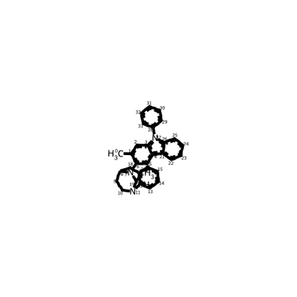 Cc1cc2c(cc1N1C3CCN(c4ccccc4C3)[C@@H]1C)c1ccccc1n2-c1ccccc1